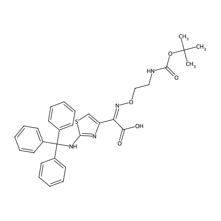 CC(C)(C)OC(=O)NCCO/N=C(\C(=O)O)c1csc(NC(c2ccccc2)(c2ccccc2)c2ccccc2)n1